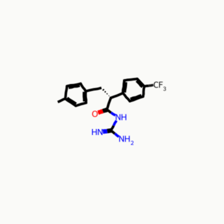 Cc1ccc(C[C@@H](C(=O)NC(=N)N)c2ccc(C(F)(F)F)cc2)cc1